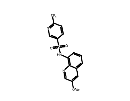 COc1cnc2c(NS(=O)(=O)c3ccc(C(F)(F)F)nc3)cccc2c1